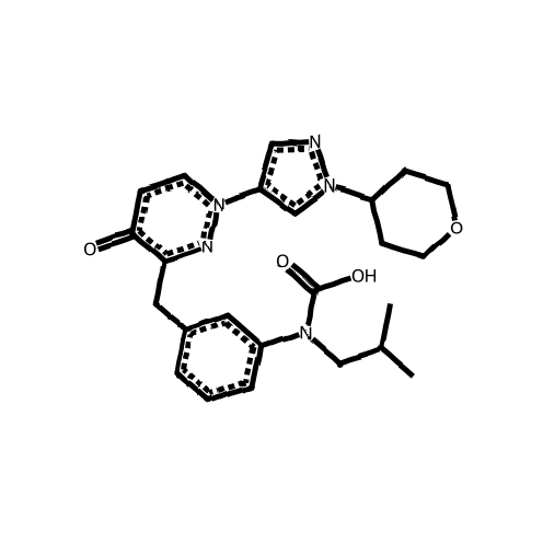 CC(C)CN(C(=O)O)c1cccc(Cc2nn(-c3cnn(C4CCOCC4)c3)ccc2=O)c1